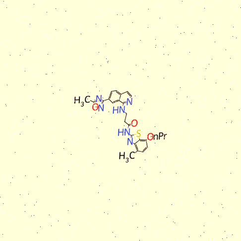 CCCOc1ccc(C)c2nc(NC(=O)CCNc3nccc4ccc(-c5noc(C)n5)cc34)sc12